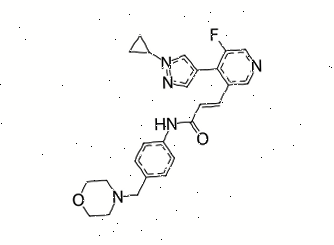 O=C(C=Cc1cncc(F)c1-c1cnn(C2CC2)c1)Nc1ccc(CN2CCOCC2)cc1